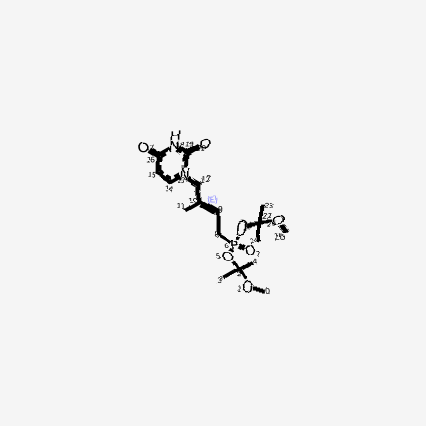 COC(C)(C)OP(=O)(C/C=C(\C)Cn1ccc(=O)[nH]c1=O)OC(C)(C)OC